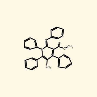 COC(=O)c1c(-c2ccccc2)c(C)c(-c2ccccc2)n(-c2ccccc2)c1=Nc1ccccc1